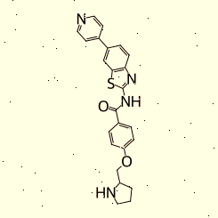 O=C(Nc1nc2ccc(-c3ccncc3)cc2s1)c1ccc(OCC2CCCN2)cc1